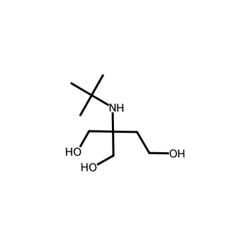 CC(C)(C)NC(CO)(CO)CCO